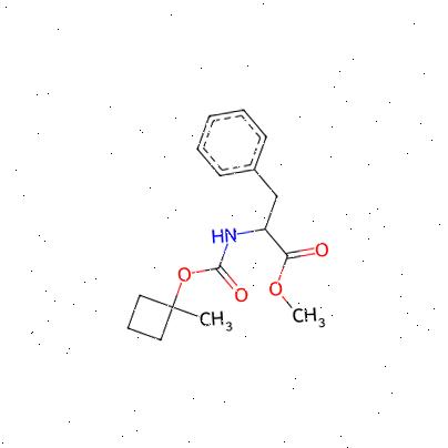 COC(=O)C(Cc1ccccc1)NC(=O)OC1(C)CCC1